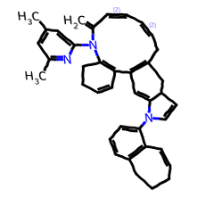 C=C1/C=C\C=C/CC2=C(C=C3C(C=CN3c3cccc4c3C=CCCC4)C2)C2=C(CCC=C2)N1c1cc(C)cc(C)n1